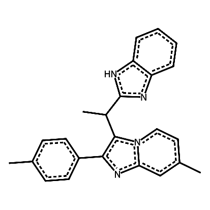 Cc1ccc(-c2nc3cc(C)ccn3c2C(C)c2nc3ccccc3[nH]2)cc1